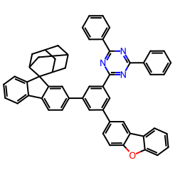 c1ccc(-c2nc(-c3ccccc3)nc(-c3cc(-c4ccc5c(c4)C4(c6ccccc6-5)C5CC6CC(C5)CC4C6)cc(-c4ccc5oc6ccccc6c5c4)c3)n2)cc1